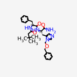 CC(C)(C)CC(=O)N[C@@H](Cc1ccccc1)C(=O)N[C@@H](Cc1cncn1COCc1ccccc1)C(N)=O